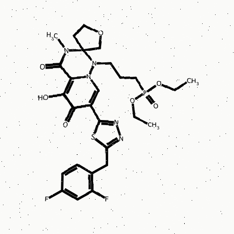 CCOP(=O)(CCCN1n2cc(-c3nnc(Cc4ccc(F)cc4F)s3)c(=O)c(O)c2C(=O)N(C)C12CCOC2)OCC